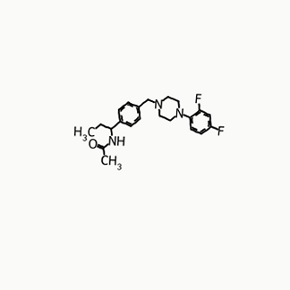 CCC(NC(C)=O)c1ccc(CN2CCN(c3ccc(F)cc3F)CC2)cc1